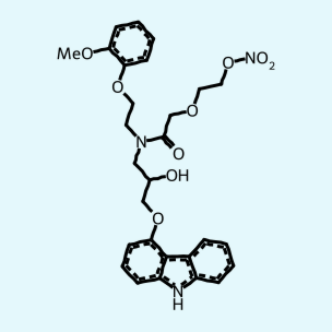 COc1ccccc1OCCN(CC(O)COc1cccc2[nH]c3ccccc3c12)C(=O)COCCO[N+](=O)[O-]